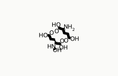 N[C@@H](CCC(=O)O)C(=O)O.O=C(O)CC[C@H](NO)C(=O)O